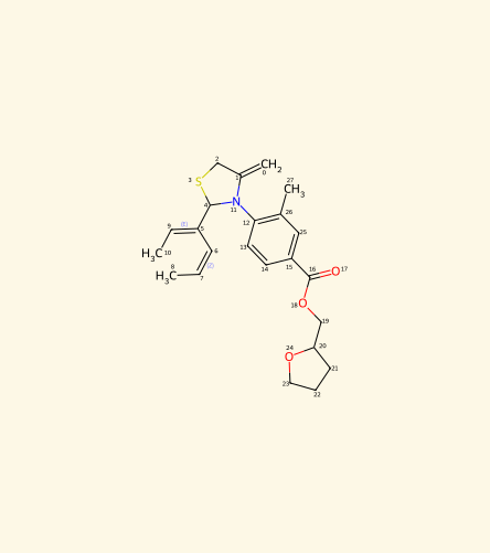 C=C1CSC(C(/C=C\C)=C/C)N1c1ccc(C(=O)OCC2CCCO2)cc1C